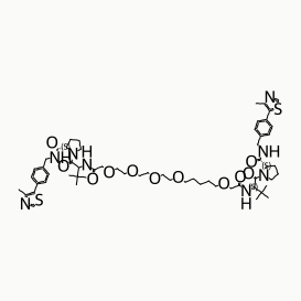 Cc1ncsc1-c1ccc(CNC(=O)[C@@H]2CCCN2C(=O)C(NC(=O)COCCOCCOCCOCCCCCOCC(=O)N[C@H](C(=O)N2CCC[C@H]2C(=O)NCc2ccc(-c3scnc3C)cc2)C(C)(C)C)C(C)(C)C)cc1